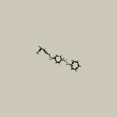 CC(=O)/C=C/COc1ccc(COc2ccccc2)cc1